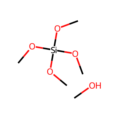 CO.CO[Si](OC)(OC)OC